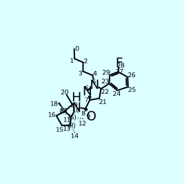 CCCCCN1N=C(C(=O)N[C@@]2(C)[C@H](C)CC[C@]2(C)CC)CC1c1cccc(F)c1